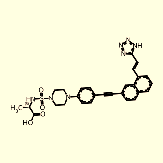 C[C@@H](NS(=O)(=O)N1CCN(c2ccc(C#Cc3ccc4cccc(C=Cc5nnn[nH]5)c4c3)cc2)CC1)C(=O)O